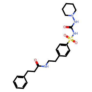 O=C(CCc1ccccc1)NCCc1ccc(S(=O)(=O)NC(=O)NN2CCCCC2)cc1